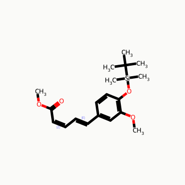 COC(=O)/C=C\C=C\c1ccc(O[Si](C)(C)C(C)(C)C)c(OC)c1